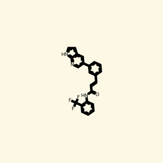 O=C(C=Cc1cccc(-c2cnc3[nH]ccc3c2)c1)Nc1ccccc1C(F)(F)F